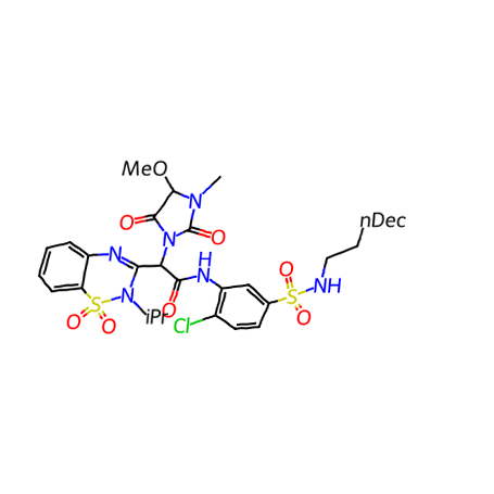 CCCCCCCCCCCCNS(=O)(=O)c1ccc(Cl)c(NC(=O)C(C2=Nc3ccccc3S(=O)(=O)N2C(C)C)N2C(=O)C(OC)N(C)C2=O)c1